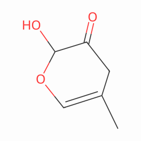 CC1=COC(O)C(=O)C1